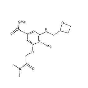 COC(=O)c1cc(NCC2CCO2)c([N+](=O)[O-])c(OCC(=O)N(C)C)c1